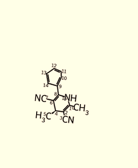 CC1=C(C#N)[C@@H](C)C(C#N)=C(c2ccccc2)N1